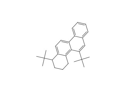 CC(C)(C)c1cc2ccccc2c2ccc3c(c12)CCCC3C(C)(C)C